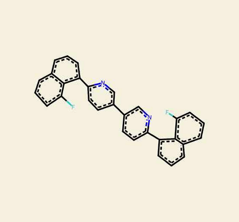 Fc1cccc2cccc(-c3ccc(-c4ccc(-c5cccc6cccc(F)c56)nc4)cn3)c12